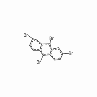 Brc1ccc2c(Br)c3ccc(Br)cc3c(Br)c2c1